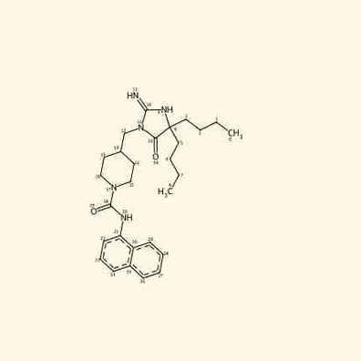 CCCCC1(CCCC)NC(=N)N(CC2CCN(C(=O)Nc3cccc4ccccc34)CC2)C1=O